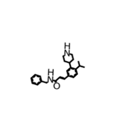 CC(C)c1ccc(/C=C/C(=O)NCc2ccccc2)cc1C1CCNCC1